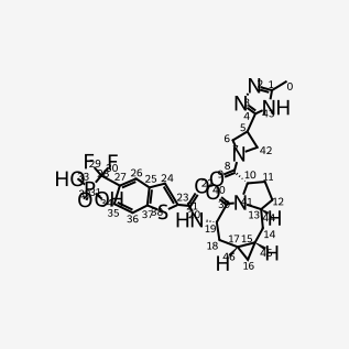 Cc1nnc(C2CN(C(=O)[C@@H]3CC[C@@H]4C[C@@H]5C[C@@H]5C[C@H](NC(=O)c5cc6cc(C(F)(F)P(=O)(O)O)ccc6s5)C(=O)N43)C2)[nH]1